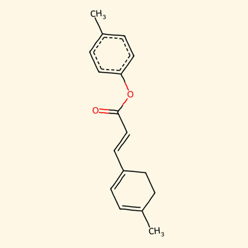 CC1=CC=C(/C=C/C(=O)Oc2ccc(C)cc2)CC1